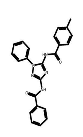 Cc1ccc(C(=O)Nc2nc(NC(=O)c3ccccc3)nn2-c2ccccc2)cc1